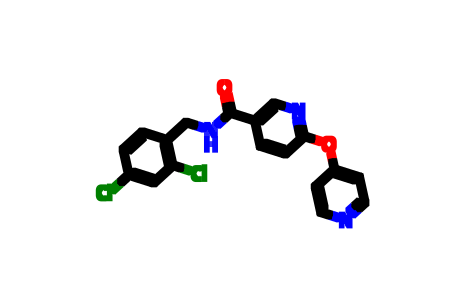 O=C(NCc1ccc(Cl)cc1Cl)c1ccc(Oc2ccncc2)nc1